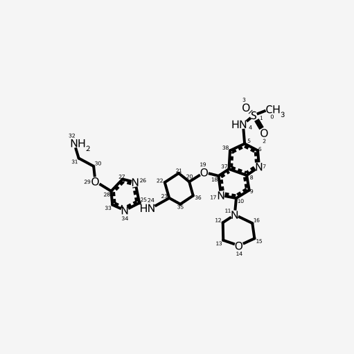 CS(=O)(=O)Nc1cnc2cc(N3CCOCC3)nc(OC3CCC(Nc4ncc(OCCN)cn4)CC3)c2c1